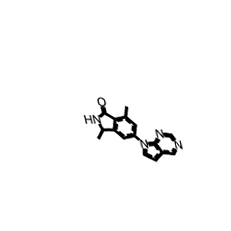 Cc1cc(-n2ccc3cncnc32)cc2c1C(=O)NC2C